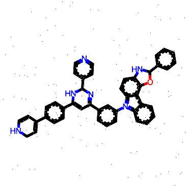 C1=CC(c2ccc(C3=CC(c4cccc(-n5c6ccccc6c6c7c(ccc65)NC(c5ccccc5)O7)c4)=NC(c4ccncc4)N3)cc2)=CCN1